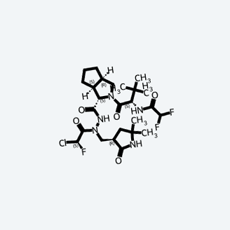 CC1(C)C[C@H](CN(NC(=O)[C@@H]2[C@H]3CCC[C@H]3CN2C(=O)[C@@H](NC(=O)C(F)F)C(C)(C)C)C(=O)[C@@H](F)Cl)C(=O)N1